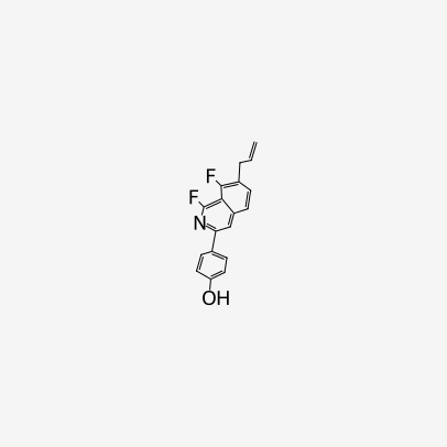 C=CCc1ccc2cc(-c3ccc(O)cc3)nc(F)c2c1F